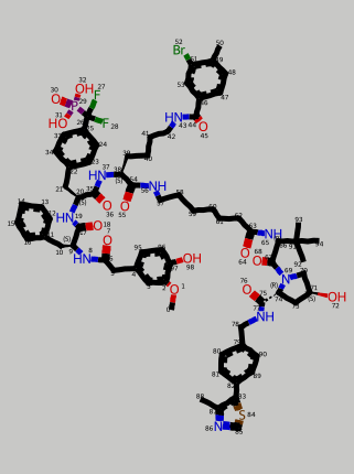 COc1cc(CC(=O)N[C@@H](Cc2ccccc2)C(=O)N[C@@H](Cc2ccc(C(F)(F)P(=O)(O)O)cc2)C(=O)N[C@@H](CCCCNC(=O)c2ccc(C)c(Br)c2)C(=O)NCCCCCCC(=O)N[C@@H](C(=O)N2C[C@@H](O)C[C@@H]2C(=O)NCc2ccc(-c3scnc3C)cc2)C(C)(C)C)ccc1O